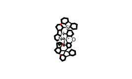 c1ccc2c(c1)-c1ccccc1C21c2ccc3c4c2-n2c5c1cccc5c1ccc[n+](c12)[N+]41c2c(ccc4c2-n2c5c(cccc5c5ccc[n+]1c52)[Si]41c2ccccc2-c2ccccc21)O3